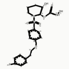 O=C(NO)O[C@@H]1[C@@H](O)CCCN1S(=O)(=O)c1ccc(OCCc2ccc(F)cc2)cc1